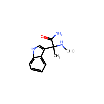 CC(NC=O)(C(N)=O)c1c[nH]c2ccccc12